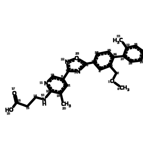 COCc1cc(-c2nc(-c3cnc(NCCC(=O)O)c(C)c3)no2)ccc1-c1ccccc1C